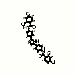 O=C(Nc1ccc(-c2cnc(-c3ccc(NC(=O)c4ccc(Cl)cc4Cl)cc3)[nH]2)cc1)c1ccc(Cl)cc1Cl